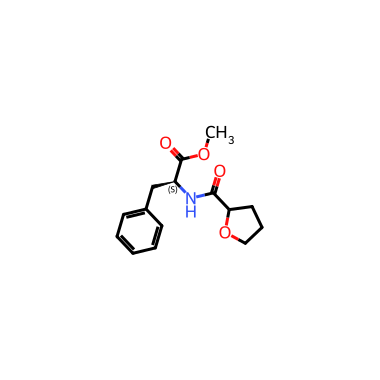 COC(=O)[C@H](Cc1ccccc1)NC(=O)C1CCCO1